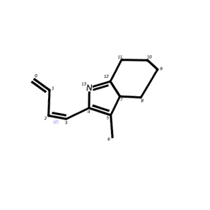 C=C/C=C\C1=C(C)C2CCCCC2=N1